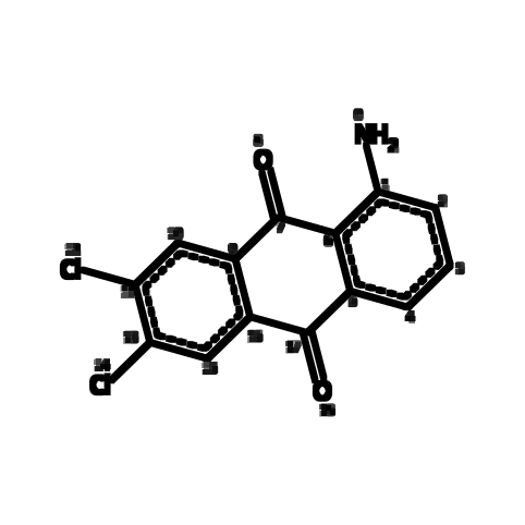 Nc1cccc2c1C(=O)c1cc(Cl)c(Cl)cc1C2=O